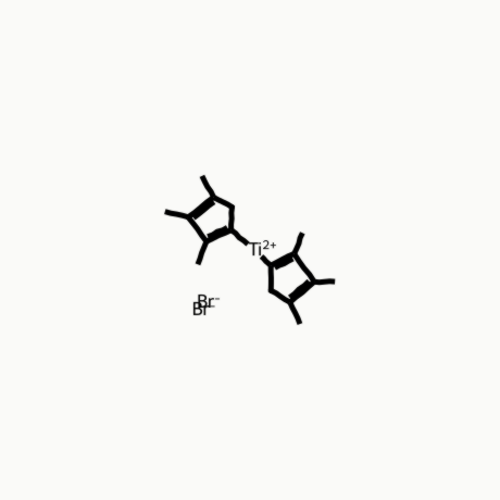 CC1=C(C)C(C)=[C]([Ti+2][C]2=C(C)C(C)=C(C)C2)C1.[Br-].[Br-]